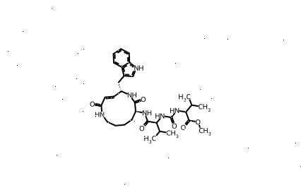 COC(=O)C(NC(=O)NC(C(=O)N[C@H]1CCCCNC(=O)/C=C/[C@H](Cc2c[nH]c3ccccc23)NC1=O)C(C)C)C(C)C